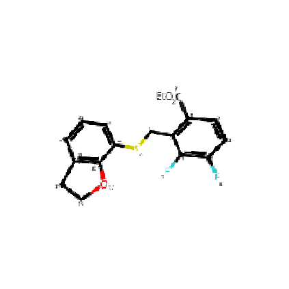 CCOC(=O)c1ccc(F)c(F)c1CSc1cccc2c1OCC2